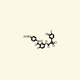 CC(=O)Nc1ccc(NC(=O)c2c(F)ccc(NC(=O)C3C(c4ccc(F)c(Cl)c4)C3(Cl)Cl)c2F)cc1